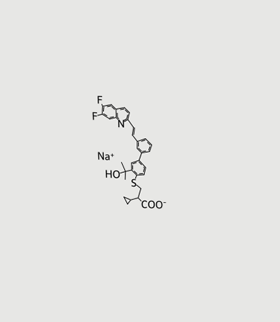 CC(C)(O)c1cc(-c2cccc(C=Cc3ccc4cc(F)c(F)cc4n3)c2)ccc1SCC(C(=O)[O-])C1CC1.[Na+]